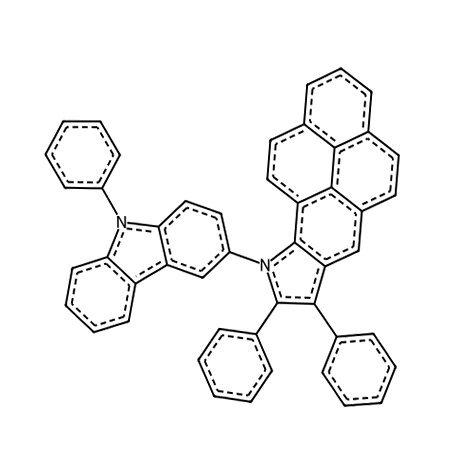 c1ccc(-c2c(-c3ccccc3)n(-c3ccc4c(c3)c3ccccc3n4-c3ccccc3)c3c2cc2ccc4cccc5ccc3c2c45)cc1